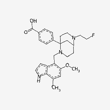 COc1cc(C)c2[nH]ccc2c1CN1CCC2CC1(c1ccc(C(=O)O)cc1)CCN2CCF